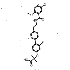 COc1ccc(Cl)cc1C(=O)NCCc1ccc(-c2ccc(OC(C)(C)C(=O)O)cc2F)cc1